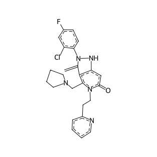 C=C1c2c(cc(=O)n(CCc3ccccn3)c2CN2CCCC2)NN1c1ccc(F)cc1Cl